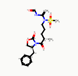 C=C(NC=O)N(CCC[C@H](C)C(=O)N1C(=O)OC[C@@H]1Cc1ccccc1)S(C)(=O)=O